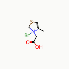 CC1=CSC[N+]1(Br)CC(=O)O